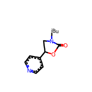 CCC(C)N1CC(c2ccncc2)OC1=O